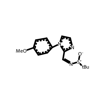 COc1ccc(-n2ccnc2/C=N\[S+]([O-])C(C)(C)C)cc1